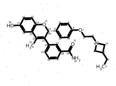 CCC1CN(CCOc2ccc([C@H]3Oc4ccc(O)cc4C(C)=C3c3cccc(C(N)=O)c3)cc2)C1